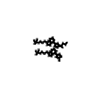 CCCC(C)n1cc(-c2ccnc3c2ccn3COCC[Si](C)(C)C)cn1.C[Si](C)(C)CCOCn1ccc2c(-c3cn[nH]c3)ccnc21